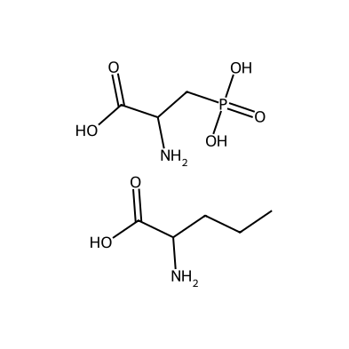 CCCC(N)C(=O)O.NC(CP(=O)(O)O)C(=O)O